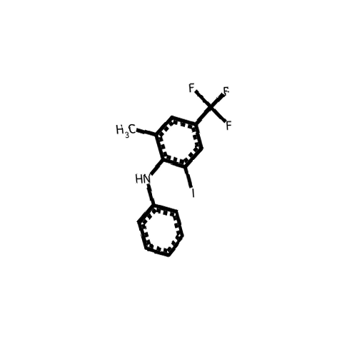 Cc1cc(C(F)(F)F)cc(I)c1Nc1ccccc1